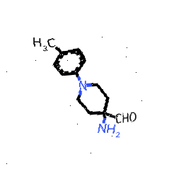 Cc1ccc(N2CCC(N)(C=O)CC2)cc1